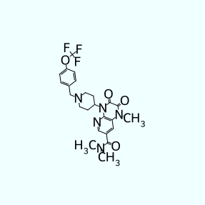 CN(C)C(=O)c1cnc2c(c1)n(C)c(=O)c(=O)n2C1CCN(Cc2ccc(OC(F)(F)F)cc2)CC1